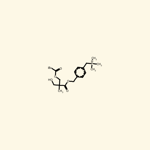 CCC(C)C(=O)OCC(C)(CO)C(=O)OCc1ccc(C[PH](C)(C)C)cc1